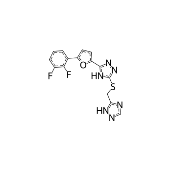 Fc1cccc(-c2ccc(-c3nnc(SCc4ncn[nH]4)[nH]3)o2)c1F